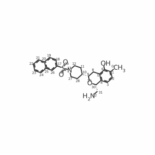 Cc1ccc2c(c1O)C[C@@H](C1CCN(S(=O)(=O)c3ccc4ccccc4c3)CC1)O[C@H]2CN